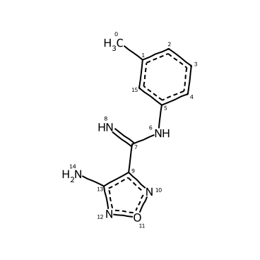 Cc1cccc(NC(=N)c2nonc2N)c1